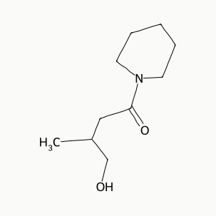 CC(CO)CC(=O)N1CCCCC1